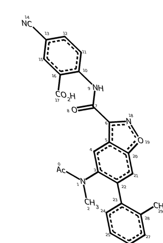 CC(=O)N(C)c1cc2c(C(=O)Nc3ccc(C#N)cc3C(=O)O)noc2cc1-c1ccccc1C